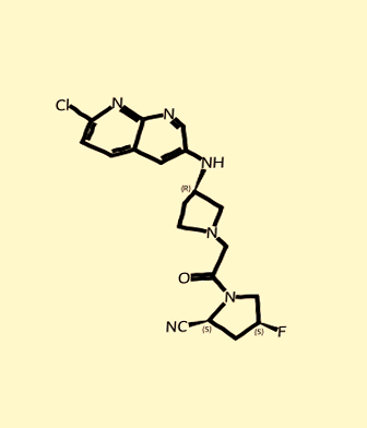 N#C[C@@H]1C[C@H](F)CN1C(=O)CN1CC[C@@H](Nc2cnc3nc(Cl)ccc3c2)C1